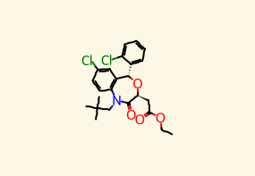 CCOC(=O)C[C@@H]1O[C@@H](c2ccccc2Cl)c2cc(Cl)ccc2N(CC(C)(C)C)C1=O